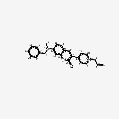 C=CC[n+]1ccc(-c2cc3ccc(N(C)Cc4ccccc4)cc3oc2=O)cc1